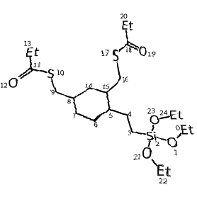 CCO[Si](CCC1CCC(CSC(=O)CC)CC1CSC(=O)CC)(OCC)OCC